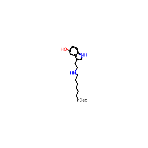 CCCCCCCCCCCCCCCCNCCc1c[nH]c2ccc(O)cc12